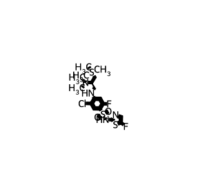 CN(C)[C@H](CNc1cc(F)c(S(=O)(=O)Nc2ncc(F)s2)cc1Cl)CS(C)(C)C